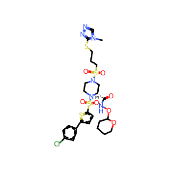 Cn1cnnc1SCCCS(=O)(=O)N1CCN(S(=O)(=O)c2ccc(-c3ccc(Cl)cc3)s2)[C@@H](C(=O)NOC2CCCCO2)C1